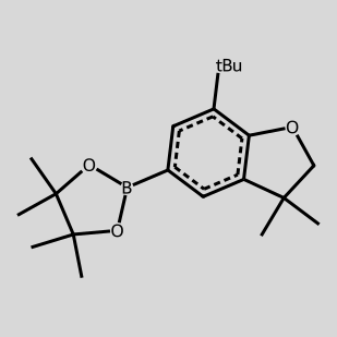 CC(C)(C)c1cc(B2OC(C)(C)C(C)(C)O2)cc2c1OCC2(C)C